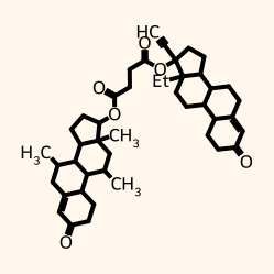 C#CC1(OC(=O)CCC(=O)OC2CCC3C4C(C)CC5=CC(=O)CCC5C4C(C)CC23C)CCC2C3CCC4=CC(=O)CCC4C3CCC21CC